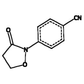 N#Cc1ccc(N2OCCC2=O)cc1